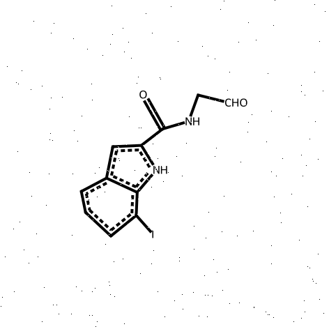 O=CCNC(=O)c1cc2cccc(I)c2[nH]1